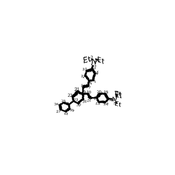 CCN(CC)c1ccc(/C=C/C2(/C=C/c3ccc(N(CC)CC)cc3)C=CC(c3ccccc3)C=C2)cc1